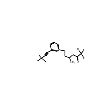 CC(C)(C)C#Cc1cccc(CCC(N)OC(=O)C(F)(F)F)c1